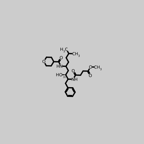 COC(=O)CCC(=O)NC(Cc1ccccc1)[C@@H](O)CC(CCC(C)C)NC(=O)C1CCOCC1